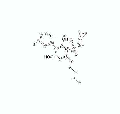 CCCCCc1cc(O)c(-c2cccc(C)c2)c(O)c1S(=O)(=O)NC1CC1